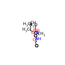 CCCCOc1c(OCC=C(C)CCC=C(C)C)c2ccc(NC(=O)C=Cc3ccccc3)cc2n(C)c1=O